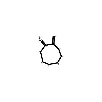 C=C1CCCCCCC1=O